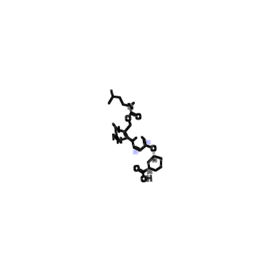 C/C=C(\C=C/C(C)c1nnn(C)c1COC(=O)N(C)CCC(C)C)O[C@@H]1CCC[C@@H](C(=O)O)C1